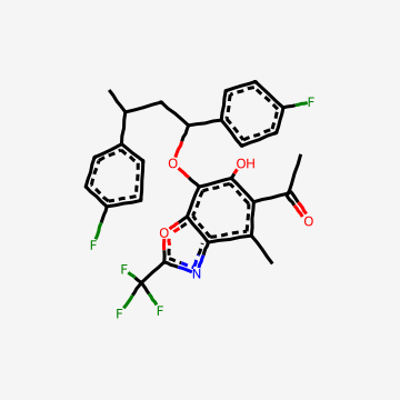 CC(=O)c1c(O)c(OC(CC(C)c2ccc(F)cc2)c2ccc(F)cc2)c2oc(C(F)(F)F)nc2c1C